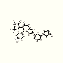 COC(=O)C(OC(C)(C)C)c1c(C)cc2nc(-c3cccc(-c4cnn(C)c4)c3)cn2c1N1CCC(C)(C)CC1